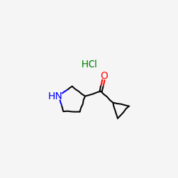 Cl.O=C(C1CC1)C1CCNC1